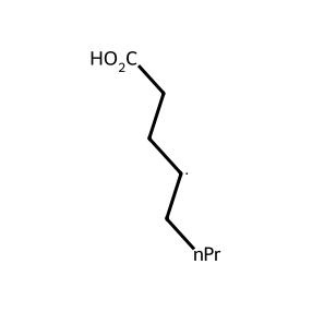 CCCC[CH]CCC(=O)O